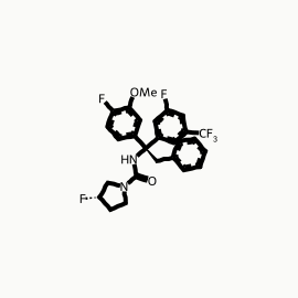 COc1cc([C@@](Cc2ccccc2)(NC(=O)N2CC[C@H](F)C2)c2cc(F)cc(C(F)(F)F)c2)ccc1F